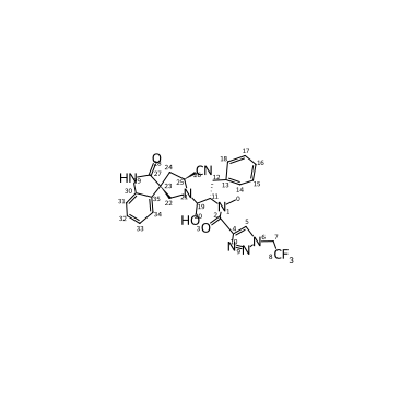 CN(C(=O)c1cn(CC(F)(F)F)nn1)[C@@H](Cc1ccccc1)C(O)N1C[C@]2(C[C@H]1C#N)C(=O)Nc1ccccc12